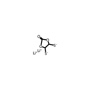 O=C1OC([S-])C([S-])O1.[Li+].[Li+]